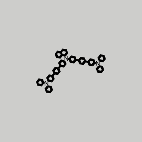 c1ccc(N(c2ccccc2)c2ccc(-c3ccc(-c4ccc(N(c5ccc(-c6ccc(-c7ccc(N(c8ccccc8)c8ccccc8)cc7)cc6)cc5)c5cccc6ccccc56)cc4)cc3)cc2)cc1